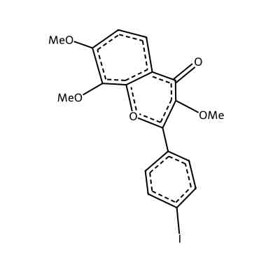 COc1ccc2c(=O)c(OC)c(-c3ccc(I)cc3)oc2c1OC